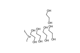 I[Te]I.OCCO.OCCO.OCCO.OCCO.OCCO